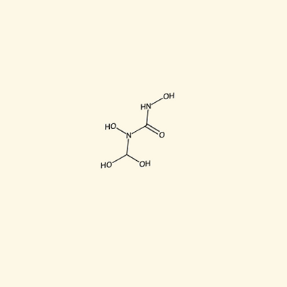 O=C(NO)N(O)C(O)O